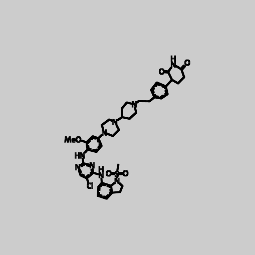 COc1cc(N2CCN(C3CCN(CCc4ccc(C5CCC(=O)NC5=O)cc4)CC3)CC2)ccc1Nc1ncc(Cl)c(Nc2cccc3c2N(S(C)(=O)=O)CC3)n1